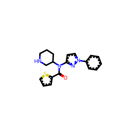 O=C(c1cccs1)N(c1ccn(-c2ccccc2)n1)C1CCCNC1